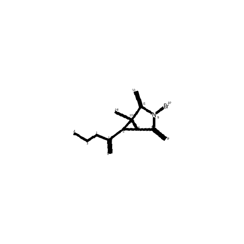 C=C(CCC)C1C2C(=C)N(Br)C(=C)C12C